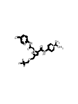 CC(C)N1CCC(NC(=O)c2cc(COCC(F)(F)F)nn2CC(=O)Nc2ccc(Cl)cn2)CC1